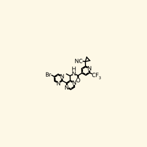 CC(NC(=O)c1cc(C(F)(F)F)nc(C2(C#N)CC2)c1)c1nccnc1-c1ncc(Br)cn1